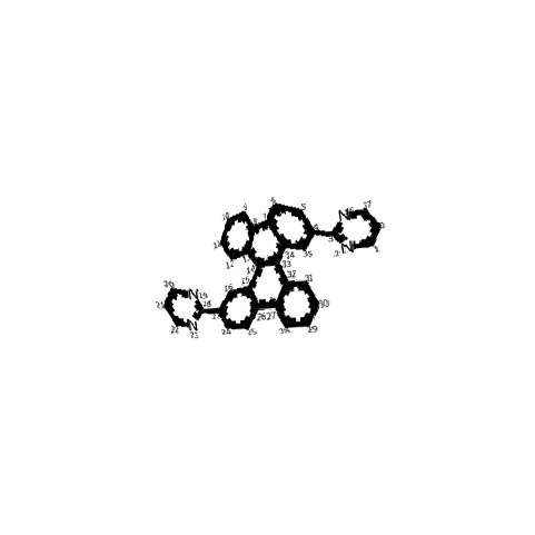 c1cnc(-c2ccc3c4ccccc4c4c5cc(-c6ncccn6)ccc5c5ccccc5c4c3c2)nc1